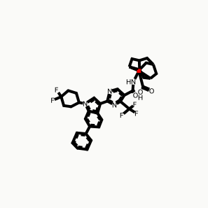 O=C(NC1(C(=O)O)C2CC3CC4CC1C4(C3)C2)c1cnc(-c2cn(C3CCC(F)(F)CC3)c3cc(-c4ccccc4)ccc23)nc1C(F)(F)F